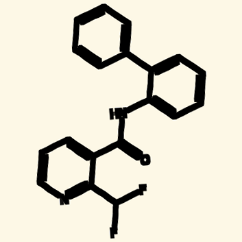 O=C(Nc1ccccc1-c1ccccc1)c1cccnc1C(F)F